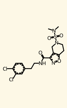 CN(C)S(=O)(=O)N1CCc2onc(C(=O)NCCc3ccc(Cl)c(Cl)c3)c2C1